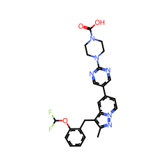 Cc1nn2ccc(-c3cnc(N4CCN(C(=O)O)CC4)nc3)cc2c1Cc1ccccc1OC(F)F